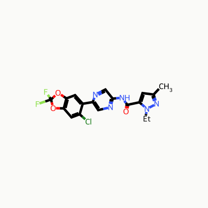 CCn1nc(C)cc1C(=O)Nc1cnc(-c2cc3c(cc2Cl)OC(F)(F)O3)cn1